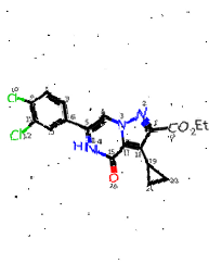 CCOC(=O)c1nn2cc(-c3ccc(Cl)c(Cl)c3)[nH]c(=O)c2c1C1CC1